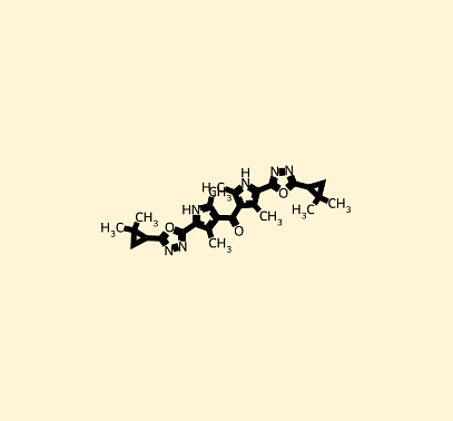 Cc1[nH]c(-c2nnc(C3CC3(C)C)o2)c(C)c1C(=O)c1c(C)[nH]c(-c2nnc(C3CC3(C)C)o2)c1C